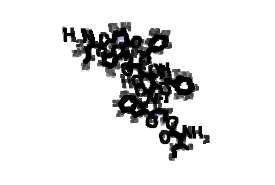 CC[C@H](C)[C@H](N)C(=O)OC/C=C\C(=O)[C@@H]1Cc2ccccc2[C@H]1NC(=O)[C@H](OC(F)c1ccccc1)[C@H](O)[C@@H](O)[C@@H](OC(F)c1ccccc1)C(=O)N[C@@H]1c2ccccc2C[C@H]1C(=O)/C=C\COC(=O)[C@@H](N)[C@@H](C)CC